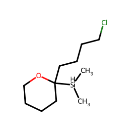 C[SiH](C)C1(CCCCCl)CCCCO1